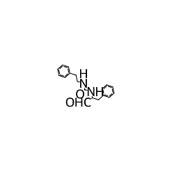 O=[C]C(Cc1ccccc1)NC(=O)NCCc1ccccc1